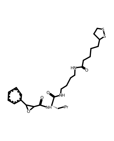 CC(C)C[C@H](NC(=O)C1OC1c1ccccc1)C(=O)NCCCCNC(=O)CCCCC1CCSS1